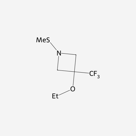 CCOC1(C(F)(F)F)CN(SC)C1